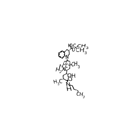 CCCCNC(=O)[C@H](C)C[C@H](O)[C@@H](N)CC(C)(C)CC(=O)N1C[C@H](C(=O)OC(C)(C)C)Cc2ccccc21